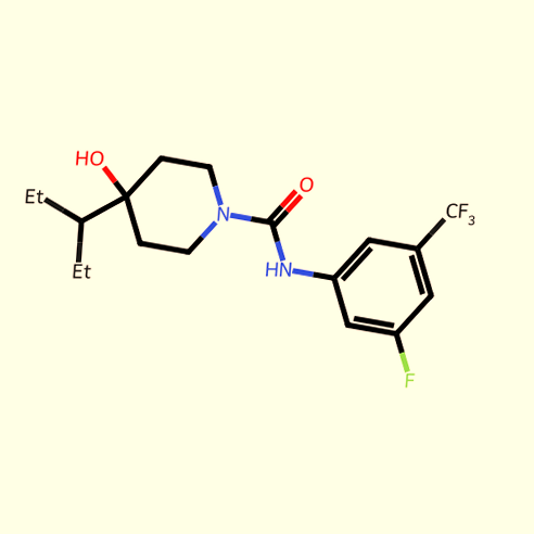 CCC(CC)C1(O)CCN(C(=O)Nc2cc(F)cc(C(F)(F)F)c2)CC1